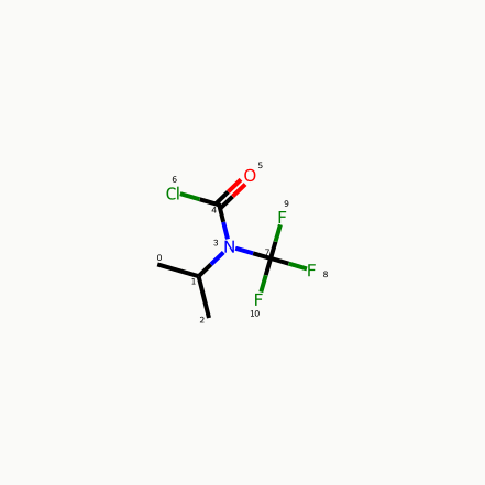 CC(C)N(C(=O)Cl)C(F)(F)F